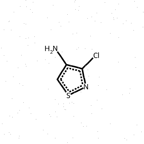 Nc1csnc1Cl